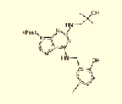 CCCCCn1cnc2c(NCc3cc(C)ccc3O)nc(NCC(C)(C)O)nc21